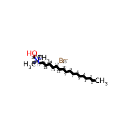 CCCCCCCCCCCCCCCCCC[N+](C)(C)CO.[Br-]